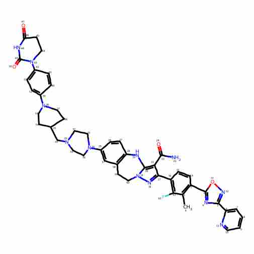 Cc1c(-c2nc(-c3ccccn3)no2)ccc(-c2nn3c(c2C(N)=O)Nc2ccc(N4CCN(CC5CCN(c6ccc(N7CCC(=O)NC7=O)cc6)CC5)CC4)cc2CC3)c1F